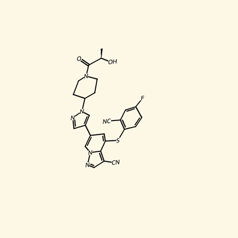 C[C@@H](O)C(=O)N1CCC(n2cc(-c3cc(Sc4ccc(F)cc4C#N)c4c(C#N)cnn4c3)cn2)CC1